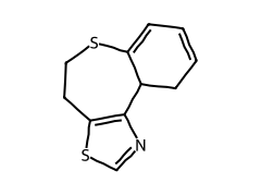 C1=CCC2C(=C1)SCCc1scnc12